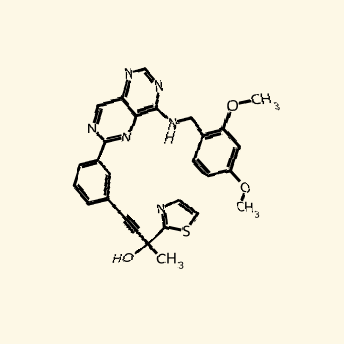 COc1ccc(CNc2ncnc3cnc(-c4cccc(C#CC(C)(O)c5nccs5)c4)nc23)c(OC)c1